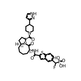 O=C(N[C@H]1CCCC[C@H]2CC[C@@H](C(=O)N3CCC(c4cc[nH]n4)CC3)N2C1=O)c1cc2cc(C(F)P(=O)(O)O)ccc2s1